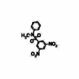 CN(c1ccccc1)S(=O)(=O)c1cc([N+](=O)[O-])cc([N+](=O)[O-])c1